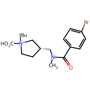 CN(C[C@@H]1CC[N+](C(=O)O)(C(C)(C)C)C1)C(=O)c1ccc(Br)cc1